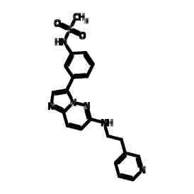 CS(=O)(=O)Nc1cccc(-c2cnc3ccc(NCCc4cccnc4)nn23)c1